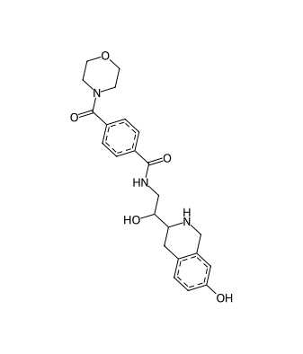 O=C(NCC(O)C1Cc2ccc(O)cc2CN1)c1ccc(C(=O)N2CCOCC2)cc1